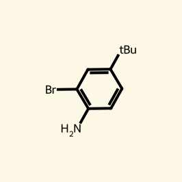 CC(C)(C)c1ccc(N)c(Br)c1